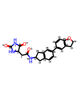 O=C(CC1NC(=O)NC1=O)NC1Cc2ccc(-c3ccc4c(c3)CCO4)cc2C1